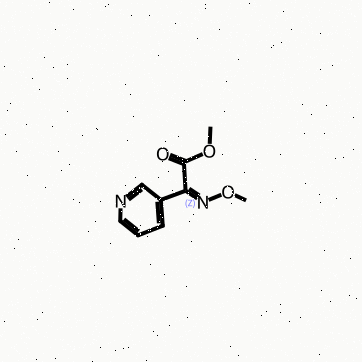 CO/N=C(\C(=O)OC)c1cccnc1